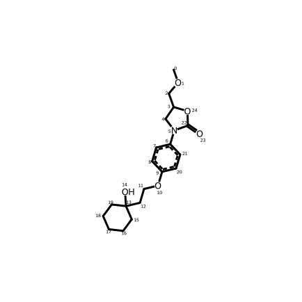 COCC1CN(c2ccc(OCCC3(O)CCCCC3)cc2)C(=O)O1